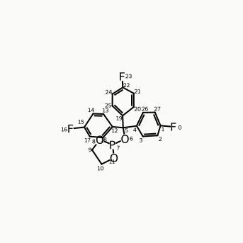 Fc1ccc(C(OP2OCCO2)(c2ccc(F)cc2)c2ccc(F)cc2)cc1